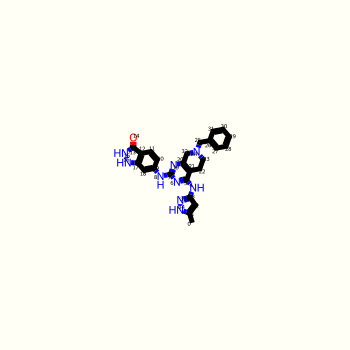 Cc1cc(Nc2nc(Nc3ccc4c(=O)[nH][nH]c4c3)nc3c2CCN(Cc2ccccc2)C3)n[nH]1